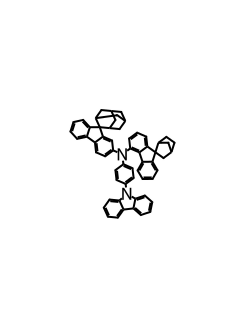 c1ccc2c(c1)-c1c(N(c3ccc(-n4c5ccccc5c5ccccc54)cc3)c3ccc4c(c3)C3(c5ccccc5-4)C4CC5CC(C4)CC3C5)cccc1C21CC2CCC1C2